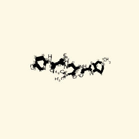 CN1CCc2nc(C(=O)NC(CNC(=S)C(=O)Nc3ccc(Cl)cn3)C(=O)N(C)C)sc2C1